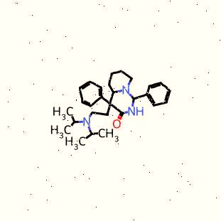 CC(C)N(CCC1(c2ccccc2)C(=O)NC(c2ccccc2)N2CCCCC21)C(C)C